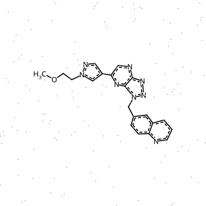 COCCn1cc(-c2cnc3nnn(Cc4ccc5ncccc5c4)c3n2)cn1